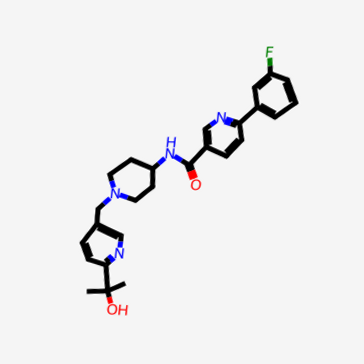 CC(C)(O)c1ccc(CN2CCC(NC(=O)c3ccc(-c4cccc(F)c4)nc3)CC2)cn1